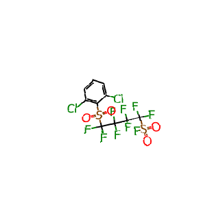 O=S(=O)(F)C(F)(F)C(F)(F)C(F)(F)C(F)(F)S(=O)(=O)c1c(Cl)cccc1Cl